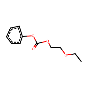 CCOCCOC(=O)Oc1ccccc1